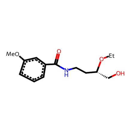 CCO[C@H](CO)CCNC(=O)c1cccc(OC)c1